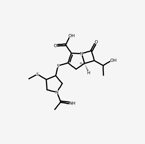 CSC1CN(C(C)=N)CC1SC1=C(C(=O)O)N2C(=O)C(C(C)O)[C@H]2C1